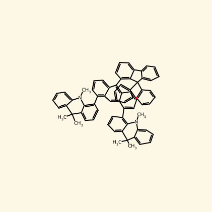 CN1c2ccccc2C(C)(C)c2cccc(-c3cccc4c(-c5cccc6c5C(c5ccccc5)(c5ccccc5)c5ccccc5-6)c5cccc(-c6cccc7c6N(C)c6ccccc6C7(C)C)c5cc34)c21